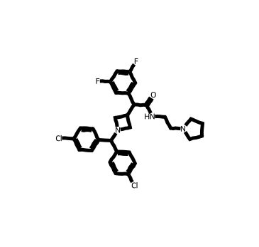 O=C(NCCN1CCCC1)C(c1cc(F)cc(F)c1)C1CN(C(c2ccc(Cl)cc2)c2ccc(Cl)cc2)C1